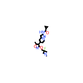 Cc1onc(OCC2(F)CN(C)C2)c1-c1ccn2nc(NC(=O)C3CC3)cc2c1